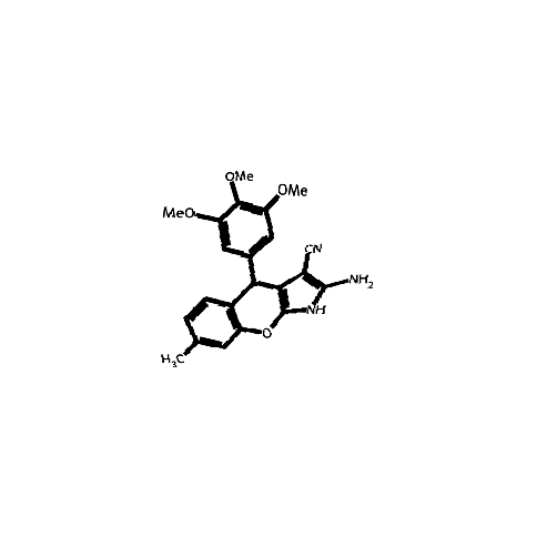 COc1cc(C2c3ccc(C)cc3Oc3[nH]c(N)c(C#N)c32)cc(OC)c1OC